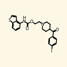 O=C(Nc1cccc2sccc12)OCCN1CCC(C(=O)c2ccc(I)cc2)CC1